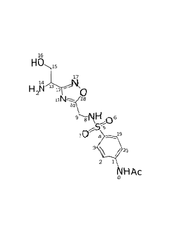 CC(=O)Nc1ccc(S(=O)(=O)NCc2nc(C(N)CO)no2)cc1